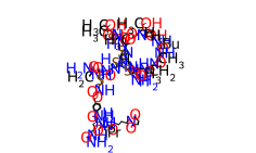 C=C(NC(=O)C(CSCCNC(=O)OCc1ccc(NC(=O)[C@H](CCCNC(N)=O)NC(=O)[C@@H](NC(=O)CCCCCN2C(=O)C=CC2=O)C(C)C)cc1)NC(=O)c1csc(C2=N[C@@H]3c4csc(n4)[C@@H](NC(=O)c4csc(C[C@](C)(O)[C@@H](C)O)n4)[C@@H](C)OC(=O)c4cc([C@H](C)O)c5c(n4)[C@@H](O)[C@@H](C=C5)N[C@@H]([C@@H](C)CC)C(=O)N[C@@H](C)C(=O)NC(=C)C(=O)N[C@@H](C)C(=O)N[C@]3(c3nc(C(N)=O)cs3)CC2)n1)C(N)=O